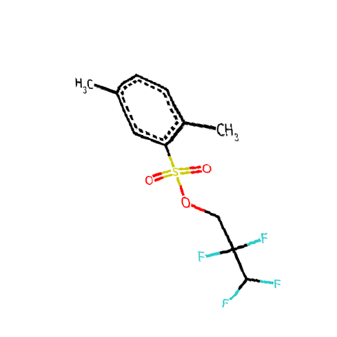 Cc1ccc(C)c(S(=O)(=O)OCC(F)(F)C(F)F)c1